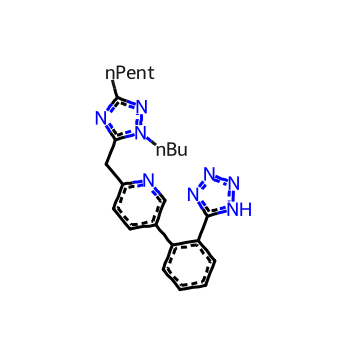 CCCCCc1nc(Cc2ccc(-c3ccccc3-c3nnn[nH]3)cn2)n(CCCC)n1